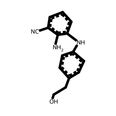 N#Cc1cccc(Nc2ccc(CCO)cc2)c1N